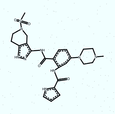 CN1CCN(c2ccc(C(=O)Nc3n[nH]c4c3CN(S(C)(=O)=O)CC4)c(NC(=O)c3ccc[nH]3)c2)CC1